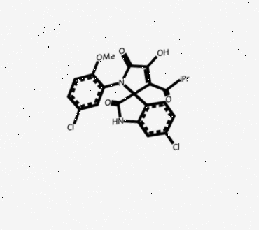 COc1ccc(Cl)cc1N1C(=O)C(O)=C(C(=O)C(C)C)C12C(=O)Nc1cc(Cl)ccc12